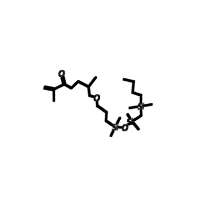 C=C(C)C(=O)CCC(C)COCCC[Si](C)(C)O[Si](C)(C)C[Si](C)(C)CCCC